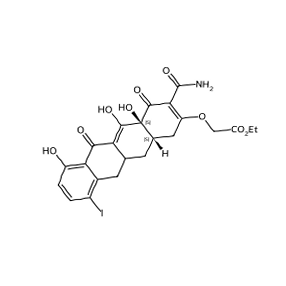 CCOC(=O)COC1=C(C(N)=O)C(=O)[C@@]2(O)C(O)=C3C(=O)c4c(O)ccc(I)c4CC3C[C@H]2C1